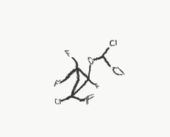 FC1(F)C(F)(Cl)C1(F)OC(Cl)Cl